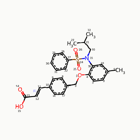 Cc1ccc(OCc2ccc(/C=C/C(=O)O)cc2)c(N(CC(C)C)S(=O)(=O)c2ccccc2)c1